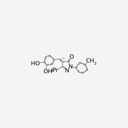 Cc1cccc(N2N=C(C(C)C)/C(=C\c3ccc(O)c(O)c3)C2=O)c1